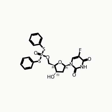 O=c1[nH]c(=O)n([C@H]2C[C@H](O)[C@@H](COP(=O)(Sc3ccccc3)Sc3ccccc3)O2)cc1F